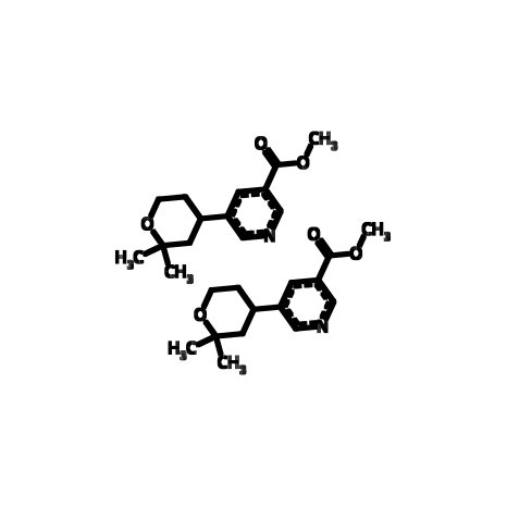 COC(=O)c1cncc(C2CCOC(C)(C)C2)c1.COC(=O)c1cncc(C2CCOC(C)(C)C2)c1